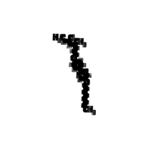 CCCCCCCCOc1cnc(-c2ccc(OCCC[C@@H](C)CC(Cl)CC)cc2)nc1